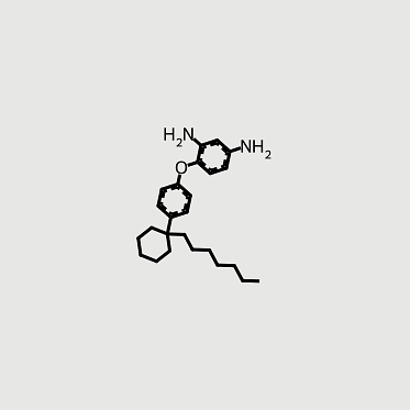 CCCCCCCC1(c2ccc(Oc3ccc(N)cc3N)cc2)CCCCC1